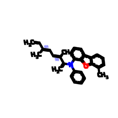 C=C/C(C)=C/C=C(\C)C(=C)N(c1ccccc1)c1cccc2c1oc1c(C)cccc12